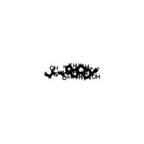 C#C[C@@]1(O)CC[C@@]2(C)[C@H](CC[C@@H]3[C@@H]2CC[C@]2(C)[C@@H](C(=O)CSC(O)CC)CC[C@@H]32)C1